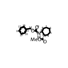 COC(=O)[C@H]1CCCCC[C@@H]1NC(=O)OCc1ccccc1